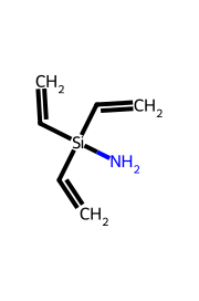 C=C[Si](N)(C=C)C=C